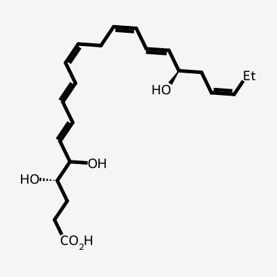 CC/C=C\C[C@@H](O)/C=C/C=C\C\C=C/C=C/C=C/C(O)[C@@H](O)CCC(=O)O